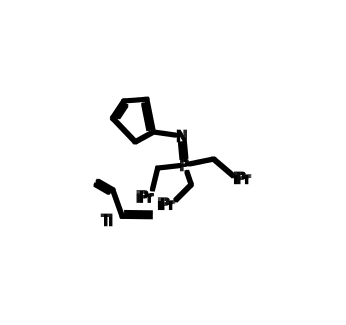 C=CC=C.CC(C)CP(CC(C)C)(CC(C)C)=NC1=CC=CC1.[Ti]